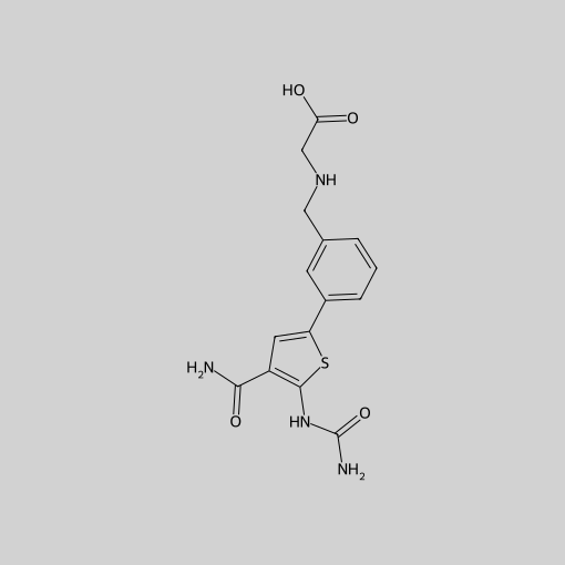 NC(=O)Nc1sc(-c2cccc(CNCC(=O)O)c2)cc1C(N)=O